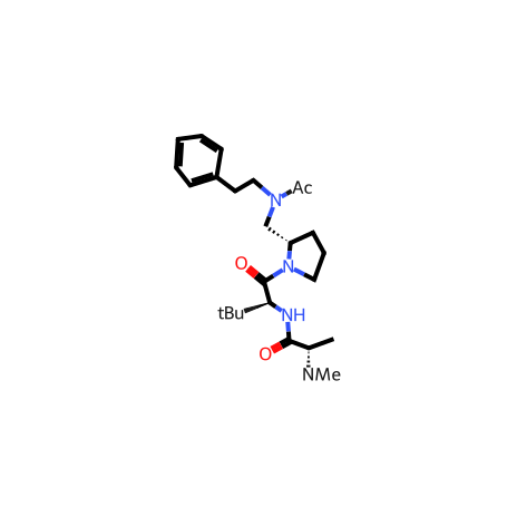 CN[C@@H](C)C(=O)N[C@H](C(=O)N1CCC[C@H]1CN(CCc1ccccc1)C(C)=O)C(C)(C)C